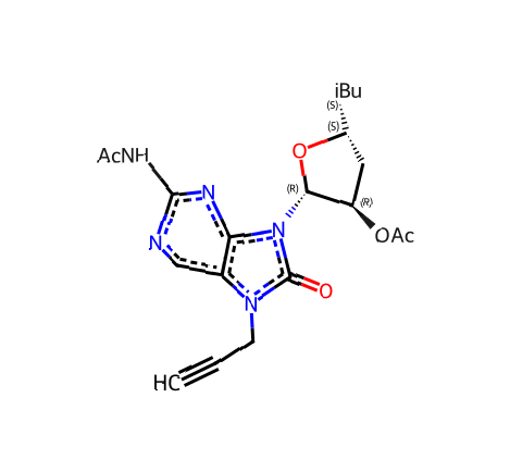 C#CCn1c(=O)n([C@@H]2O[C@H]([C@@H](C)CC)C[C@H]2OC(C)=O)c2nc(NC(C)=O)ncc21